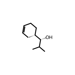 CC(C)[C@@H](O)[C@@H]1CC=CCC1